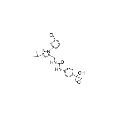 CC(C)(C)c1cc(CNC(=O)Nc2ccc(C3(O)COC3)cc2)n(-c2cccc(Cl)c2)n1